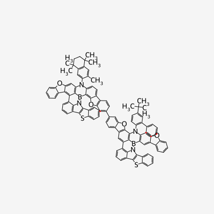 Cc1cc2c(cc1N1c3cc4oc5ccccc5c4c4c3B(c3c1ccc1c3oc3cc(-c5ccc6c(c5)oc5c7c8c(cc56)-c5cccc6c9sc%10ccccc%10c9n(c56)B8c5cc6c(cc5N7c5ccc(C(C)(C)C)cc5-c5ccccc5)oc5ccccc56)ccc31)n1c3c-4cccc3c3sc4ccccc4c31)C(C)(C)CCC2(C)C